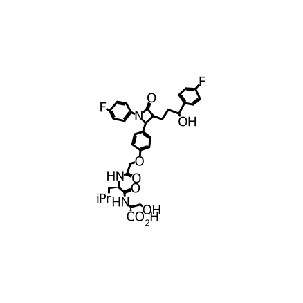 CC(C)C[C@@H](NC(=O)COc1ccc(C2C(CCC(O)c3ccc(F)cc3)C(=O)N2c2ccc(F)cc2)cc1)C(=O)N[C@@H](CO)C(=O)O